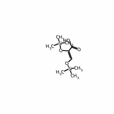 C[Si](C)(C)OC=C(O[Si](C)(C)C)C(=O)O